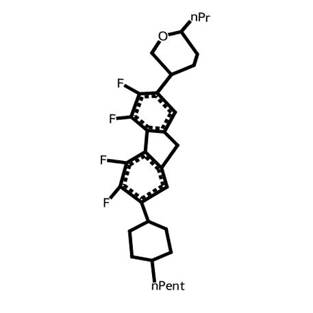 CCCCCC1CCC(c2cc3c(c(F)c2F)-c2c(cc(C4CCC(CCC)OC4)c(F)c2F)C3)CC1